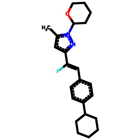 Cc1cc(/C(F)=C/c2ccc(C3CCCCC3)cc2)nn1C1CCCCO1